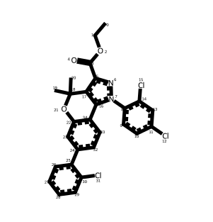 CCOC(=O)c1nn(-c2ccc(Cl)cc2Cl)c2c1C(C)(C)Oc1cc(-c3ccccc3Cl)ccc1-2